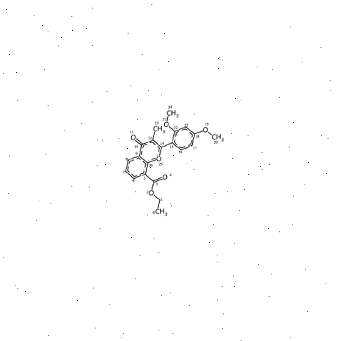 CCOC(=O)c1cccc2c(=O)c(C)c(-c3ccc(OC)cc3OC)oc12